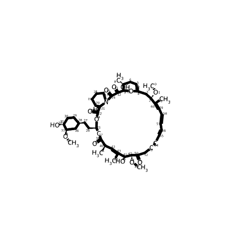 CO[C@H]1C[C@@H]2CC[C@@H](C)[C@@](O)(O2)C(=O)C(=O)N2CCCC[C@H]2C(=O)O[C@H](CC[C@@H]2CC[C@@H](O)[C@H](OC)C2)CC(=O)[C@H](C)/C=C(\C)[C@@H](O)[C@@H](OC)C(=O)CCC/C=C/C=C/C=C/1C